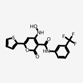 O=C(Nc1cccc(C(F)(F)F)c1)c1c(NO)cc(-c2cccs2)oc1=O